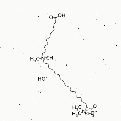 C[N+](C)(CCCCCCCCCCCCCCCCC(C(=O)[O-])[N+](C)(C)C)CCCCCCCCCCC(=O)O.[OH-]